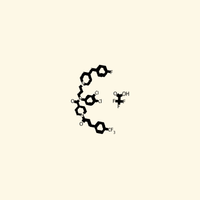 O=C(/C=C/c1ccc(C(F)(F)F)cc1)N1CCC(C(=O)N(CCCN2CCC(Cc3ccc(F)cc3)CC2)c2ccc(Cl)c(Cl)c2)CC1.O=C(O)C(F)(F)F